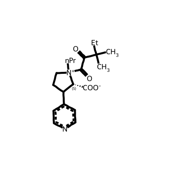 CCC[N+]1(C(=O)C(=O)C(C)(C)CC)CCC(c2ccncc2)[C@H]1C(=O)[O-]